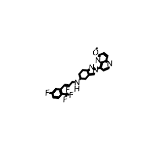 COc1ccc2nccc(-n3cc4c(n3)CCC(NCC=Cc3cc(F)ccc3C(F)(F)F)C4)c2n1